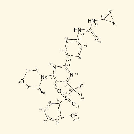 C[C@H]1COCCN1c1cc(C2(S(=O)(=O)c3ccccc3C(F)(F)F)CC2)nc(-c2ccc(NC(=O)NC3CC3)cc2)n1